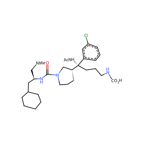 CNC[C@H](CC1CCCCC1)NC(=O)N1CCC[C@@H]([C@@](CCCNC(=O)O)(NC(C)=O)c2cccc(Cl)c2)C1